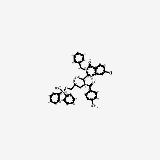 Cc1ccc(C(=O)N(CC(F)CO[Si](c2ccccc2)(c2ccccc2)C(C)(C)C)C(c2nc3cc(Cl)ccc3c(=O)n2Cc2ccccc2)C(C)C)cc1